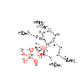 CCCCCCCCCCCCOCCCCCCCCCCCC.CCCCCCCCCCCCc1ccccc1.O=S(=O)(O)O.O=S(=O)([O-])[O-].[Na+].[Na+]